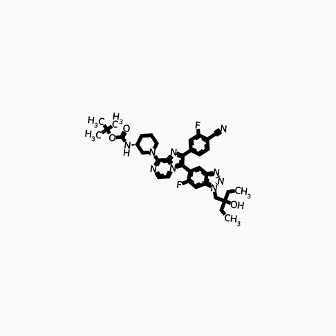 CCC(O)(CC)Cn1nnc2cc(-c3c(-c4ccc(C#N)c(F)c4)nc4c(N5CCC[C@@H](NC(=O)OC(C)(C)C)C5)nccn34)c(F)cc21